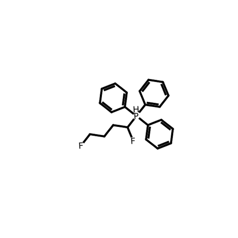 FCCCC(F)[PH](c1ccccc1)(c1ccccc1)c1ccccc1